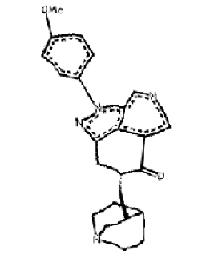 COc1ccc(-n2nc3c4c(cncc42)C(=O)[C@@H](C2CN4CCC2CC4)C3)cc1